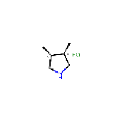 C[C@@H]1CNC[C@@H]1C.Cl